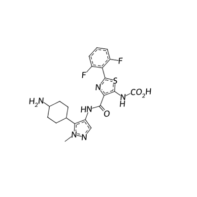 Cn1ncc(NC(=O)c2nc(-c3c(F)cccc3F)sc2NC(=O)O)c1C1CCC(N)CC1